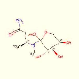 CN([C@H](CC(N)=O)C(=O)O)C1(O)OC[C@@H](O)[C@@H](O)[C@@H]1O